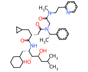 CC(C)C[C@H](O)[C@H](O)[C@H](CC1CCCCC1)NC(=O)[C@@H](CC(=O)N(CC(=O)N(C)CCc1ccccn1)[C@@H](C)c1ccccc1)CC1CC1